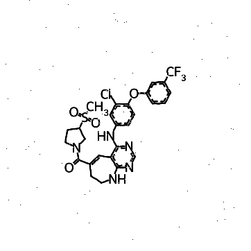 CS(=O)(=O)C1CCN(C(=O)C2=Cc3c(ncnc3Nc3ccc(Oc4cccc(C(F)(F)F)c4)c(Cl)c3)NCC2)C1